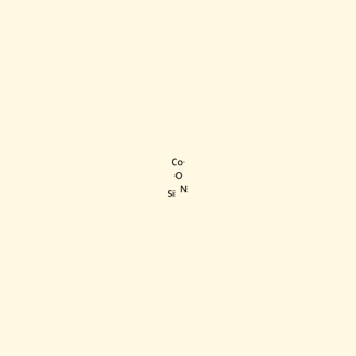 [Co].[N].[O].[Si]